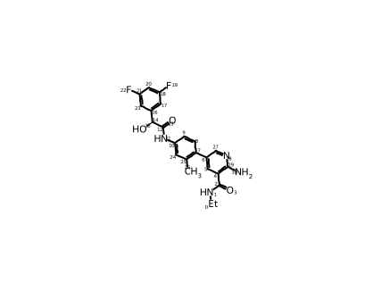 CCNC(=O)c1cc(-c2ccc(NC(=O)[C@@H](O)c3cc(F)cc(F)c3)cc2C)cnc1N